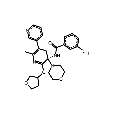 CC1=C(c2cccnc2)C[C@@](NC(=O)c2cccc(C(F)(F)F)c2)(N2CCOCC2)C(OC2CCOC2)=N1